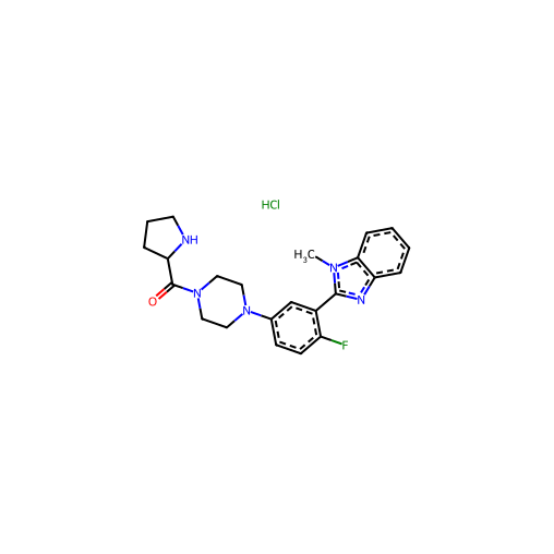 Cl.Cn1c(-c2cc(N3CCN(C(=O)C4CCCN4)CC3)ccc2F)nc2ccccc21